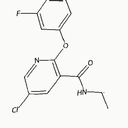 C[CH]NC(=O)c1cc(Cl)cnc1Oc1cccc(F)c1